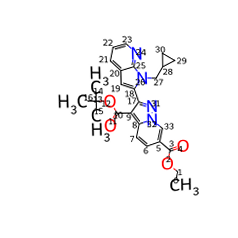 CCOC(=O)c1ccc2c(C(=O)OC(C)(C)C)c(-c3cc4cccnc4n3CC3CC3)nn2c1